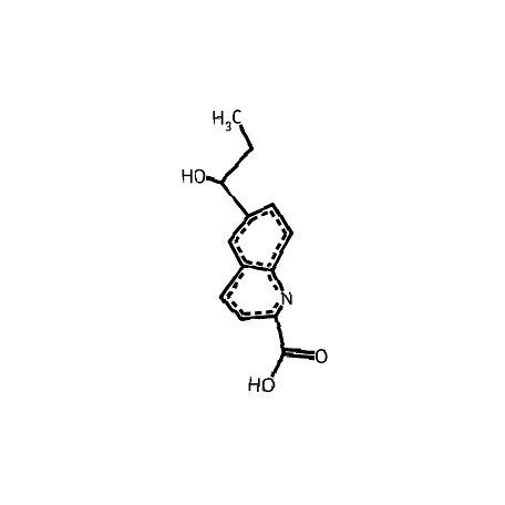 CCC(O)c1ccc2nc(C(=O)O)ccc2c1